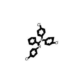 Clc1ccc(N=C(c2ccccc2)N(c2ccc(Cl)cc2)c2ccc(Cl)cc2)cc1